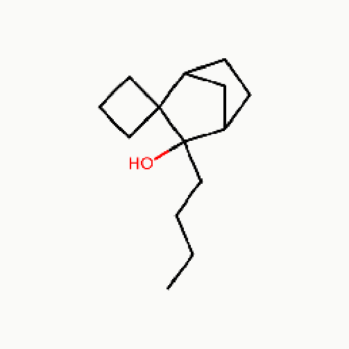 CCCCC1(O)C2CCC(C2)C12CCC2